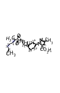 C=C/C=C\C=C(/C)S(=O)(=O)NCc1ccc(-n2nc(C)cc2C(=O)O)cc1